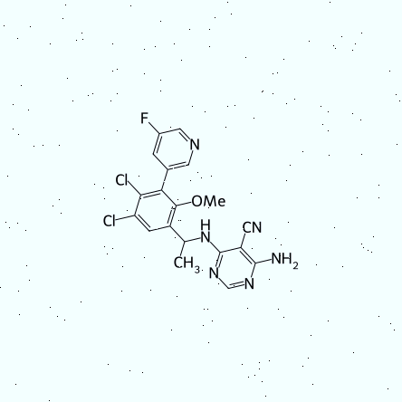 COc1c(C(C)Nc2ncnc(N)c2C#N)cc(Cl)c(Cl)c1-c1cncc(F)c1